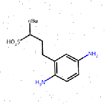 CCCCC(CCc1cc(N)ccc1N)S(=O)(=O)O